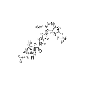 N#Cc1cnc2sc(CC(F)(F)F)cc2c1N1CC2(CN(C(=O)[C@H]3N[C@H]4CC[C@@H]3C[C@@H]4CC3CC3)C2)C1